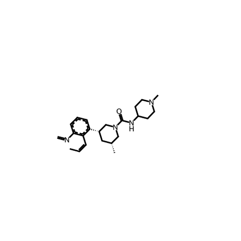 C=Nc1cccc([C@H]2C[C@@H](C)CN(C(=O)NC3CCN(C)CC3)C2)c1/C=C\C